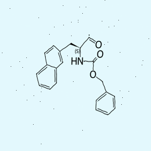 O=[C][C@H](Cc1ccc2ccccc2c1)NC(=O)OCc1ccccc1